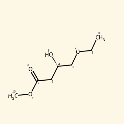 CCOC[C@@H](O)CC(=O)OC